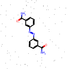 NC(=O)c1cccc(/N=N/c2cccc(C(N)=O)c2)c1